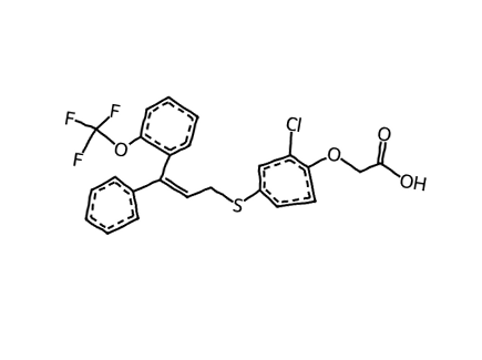 O=C(O)COc1ccc(SCC=C(c2ccccc2)c2ccccc2OC(F)(F)F)cc1Cl